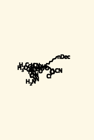 CCCCCCCCCCCCCCCCC[C@H](COP(=O)(O)OC[C@@]1(C#N)O[C@@H](c2ccc3c(N)ncnn23)[C@@H]2OC(C)(C)O[C@@H]21)OCc1cc(Cl)cc(C#N)c1